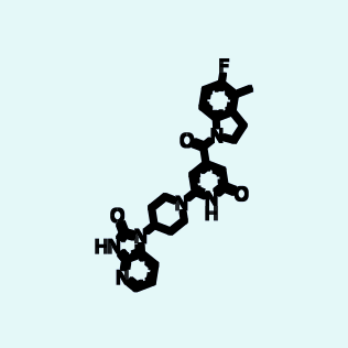 Cc1c(F)ccc2c1CCN2C(=O)c1cc(N2CCC(n3c(=O)[nH]c4ncccc43)CC2)[nH]c(=O)c1